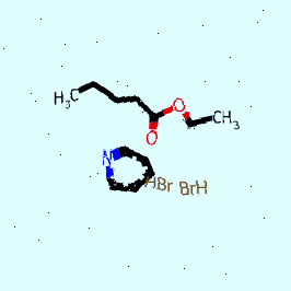 Br.Br.CCCCC(=O)OCC.c1ccncc1